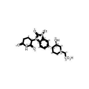 CCn1c(=O)n(C2CCC(=O)NC2=O)c2ccc([C@H]3CCN(CC(=O)O)C[C@@H]3O)cc21